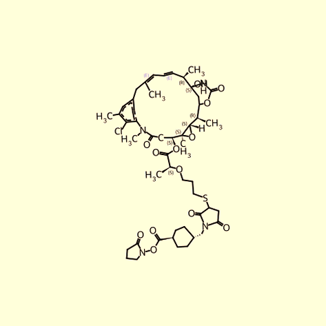 C/C1=C\C=C\[C@@H](C)[C@@]2(O)CC(OC(=O)N2)[C@@H](C)[C@@H]2O[C@@]2(C)[C@@H](OC(=O)[C@H](C)OCCCSC2CC(=O)N(C[C@H]3CC[C@H](C(=O)ON4CCCC4=O)CC3)C2=O)CC(=O)N(C)c2cc(cc(C)c2Cl)C1